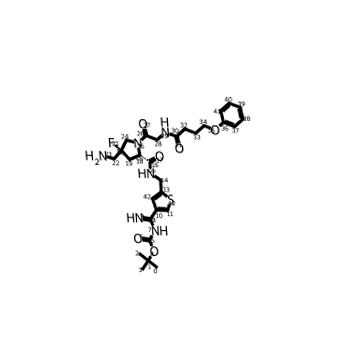 CC(C)(C)OC(=O)NC(=N)c1csc(CNC(=O)[C@@H]2C[C@](F)(CN)CN2C(=O)CNC(=O)CCCOc2ccccc2)c1